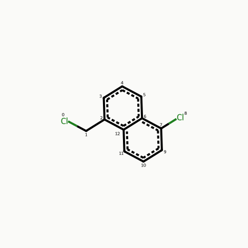 ClCc1cccc2c(Cl)cccc12